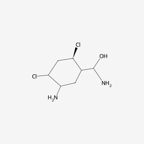 NC(O)C1CC(N)C(Cl)C[C@H]1Cl